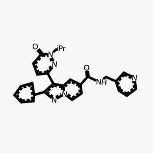 CC(C)n1nc(-c2c(-c3ccccc3)nn3ccc(C(=O)NCc4cccnc4)cc23)ccc1=O